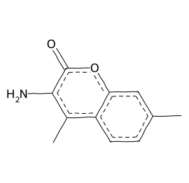 Cc1ccc2c(C)c(N)c(=O)oc2c1